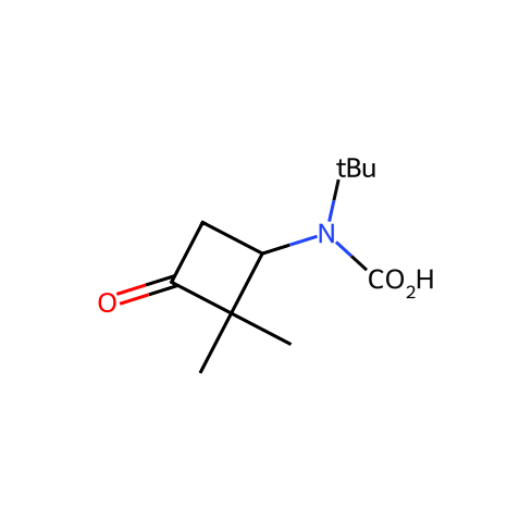 CC1(C)C(=O)CC1N(C(=O)O)C(C)(C)C